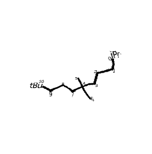 C[C](C)CCCC(C)(C)CCCC(C)(C)C